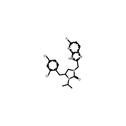 CC(C)N1C(=O)N(Cc2nc3ccc(F)nc3[nH]2)CC1Cc1ccc(Cl)cc1Cl